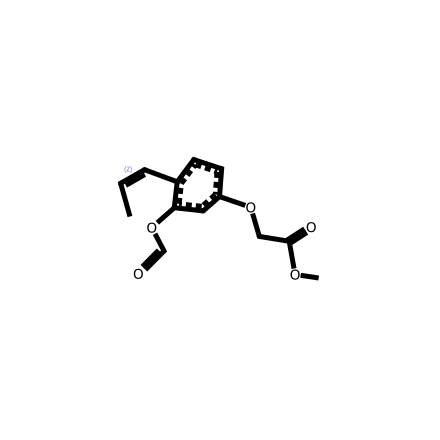 C/C=C\c1ccc(OCC(=O)OC)cc1OC=O